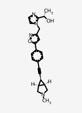 C[C@H](O)c1nccn1Cc1cc(-c2ccc(C#C[C@H]3[C@H]4CN(C)C[C@@H]34)cc2)on1